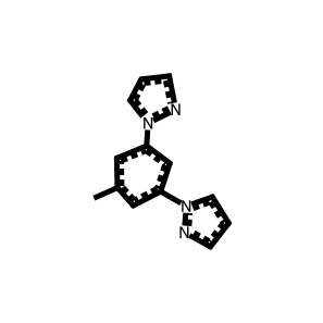 Cc1cc(-n2cccn2)cc(-n2cccn2)c1